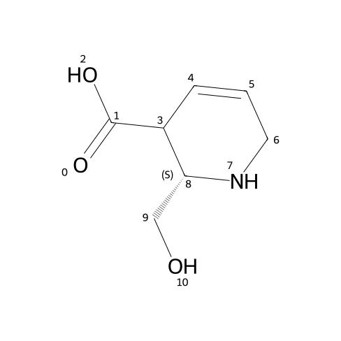 O=C(O)C1C=CCN[C@@H]1CO